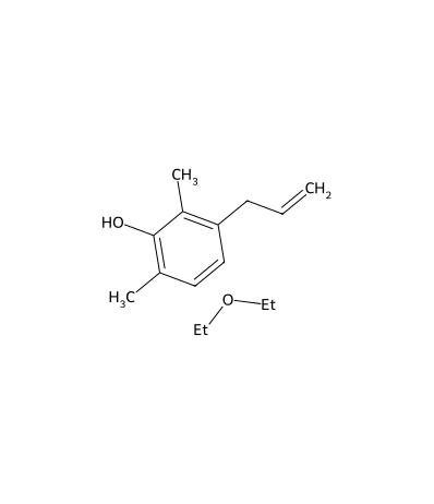 C=CCc1ccc(C)c(O)c1C.CCOCC